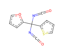 O=C=NC(N=C=O)(c1ccco1)c1cccs1